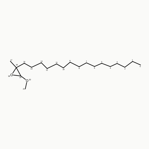 CCCCCCCCCCCCCCCCC1(C)OC1OC